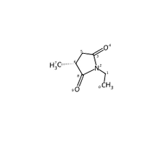 CCN1C(=O)C[C@@H](C)C1=O